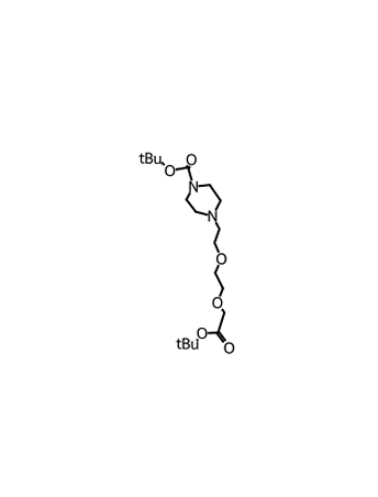 CC(C)(C)OC(=O)COCCOCCN1CCN(C(=O)OC(C)(C)C)CC1